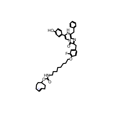 O=C(NCCCCCCCCOc1ccc(Cc2nc3c(Cc4ccccc4)[nH]c(-c4ccc(O)cc4)cn-3c2=O)cc1F)OC1CC/C=C/CCC1